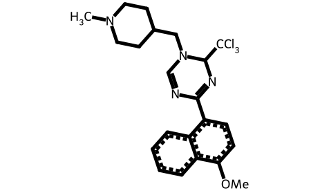 COc1ccc(C2=NC(C(Cl)(Cl)Cl)N(CC3CCN(C)CC3)C=N2)c2ccccc12